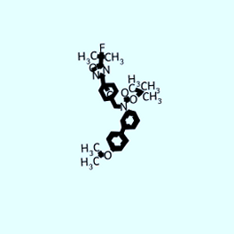 CC(C)Oc1ccc(-c2cccc(N(CC34CCC(c5noc(C(C)(C)F)n5)(CC3)CC4)C(=O)OC(C)(C)C)c2)cc1